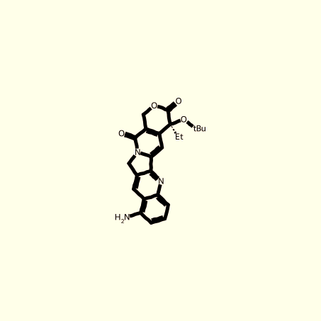 CC[C@@]1(OC(C)(C)C)C(=O)OCc2c1cc1n(c2=O)Cc2cc3c(N)cccc3nc2-1